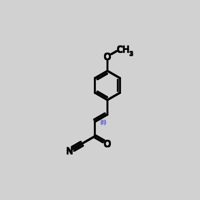 COc1ccc(/C=C/C(=O)C#N)cc1